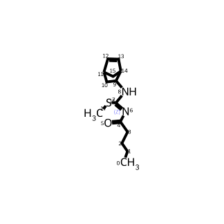 CCCCC(=O)/N=C(/NC1CC2C=CC1C2)SC